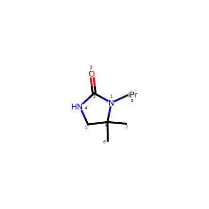 CC(C)N1C(=O)NCC1(C)C